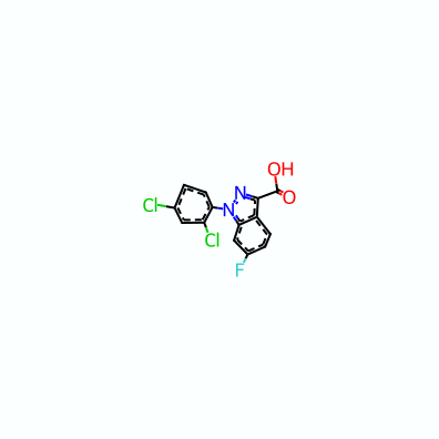 O=C(O)c1nn(-c2ccc(Cl)cc2Cl)c2cc(F)ccc12